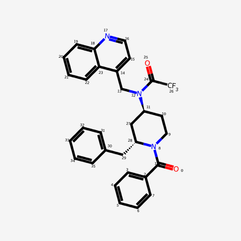 O=C(c1ccccc1)N1CC[C@H](N(Cc2ccnc3ccccc23)C(=O)C(F)(F)F)C[C@H]1Cc1ccccc1